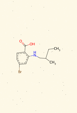 CCC(C)CNc1cc(Br)ccc1C(=O)O